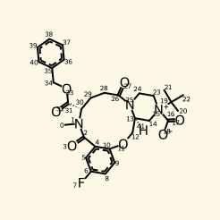 CN1C(=O)c2cc(F)ccc2OC[C@@H]2C[N+](C(=O)[O-])(C(C)(C)C)CCN2C(=O)CC[C@H]1C(=O)OCc1ccccc1